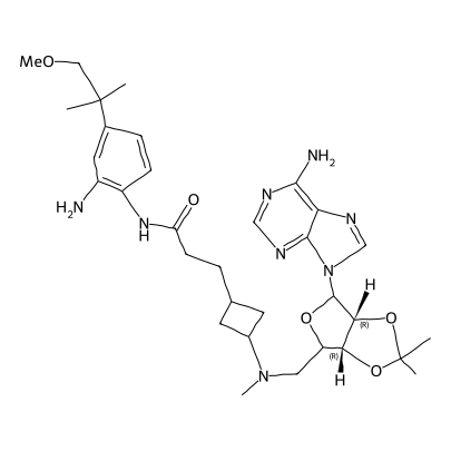 COCC(C)(C)c1ccc(NC(=O)CCC2CC(N(C)CC3OC(n4cnc5c(N)ncnc54)[C@@H]4OC(C)(C)O[C@H]34)C2)c(N)c1